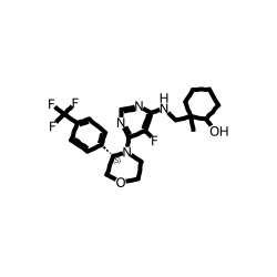 CC1(CNc2ncnc(N3CCOC[C@@H]3c3ccc(C(F)(F)F)cc3)c2F)CCCCC1O